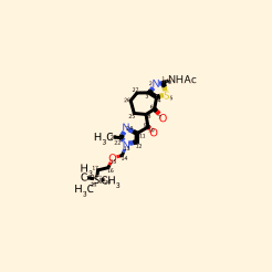 CC(=O)Nc1nc2c(s1)C(=O)C(C(=O)c1cn(COCC[Si](C)(C)C)c(C)n1)CCC2